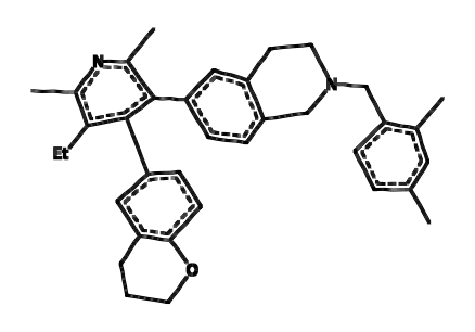 CCc1c(C)nc(C)c(-c2ccc3c(c2)CCN(Cc2ccc(C)cc2C)C3)c1-c1ccc2c(c1)CCCO2